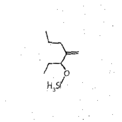 C=C(CCC)C(CC)O[SiH3]